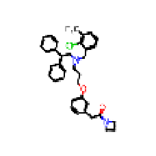 O=C(Cc1cccc(OCCCN(Cc2cccc(C(F)(F)F)c2Cl)CC(c2ccccc2)c2ccccc2)c1)N1CCC1